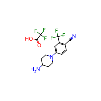 N#Cc1ccc(N2CCC(N)CC2)cc1C(F)(F)F.O=C(O)C(F)(F)F